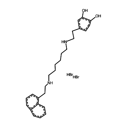 Br.Br.Oc1ccc(CCNCCCCCCNCCc2cccc3ccccc23)cc1O